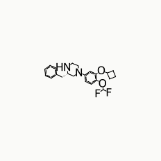 FC(F)Oc1ccc(N2CCN[C@@H](Cc3ccccc3)C2)cc1OC1CCC1